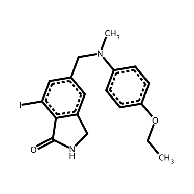 CCOc1ccc(N(C)Cc2cc(I)c3c(c2)CNC3=O)cc1